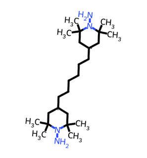 CC1(C)C[C](CCCCCC[C]2CC(C)(C)N(N)C(C)(C)C2)CC(C)(C)N1N